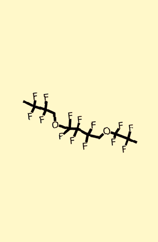 CC(F)(F)C(F)(F)COC(F)(F)C(F)(F)C(F)(F)COC(F)(F)C(C)(F)F